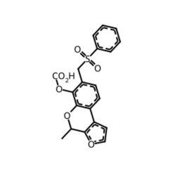 CC1Oc2c(ccc(CS(=O)(=O)c3ccccc3)c2OC(=O)O)-c2ccoc21